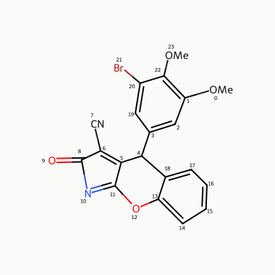 COc1cc(C2C3=C(C#N)C(=O)N=C3Oc3ccccc32)cc(Br)c1OC